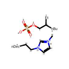 CCCCC(CC)COS(=O)(=O)[O-].CCCCCCCCCCCCn1cc[n+](C)c1